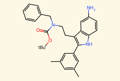 Cc1cc(C)cc(-c2[nH]c3ccc(N)cc3c2CCN(Cc2ccccc2)C(=O)OC(C)(C)C)c1